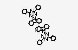 c1ccc(-c2nc(-c3ccccc3)nc(-n3c4ccccc4c4c(-c5cncc6c5c5ccccc5n6-c5nc(-c6ccccc6)nc(-c6ccccc6)n5)cccc43)n2)cc1